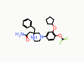 NC(=O)CC1(Cc2ccccc2)CN(c2ccc(OC(F)F)c(OC3CCCC3)c2)CCN1